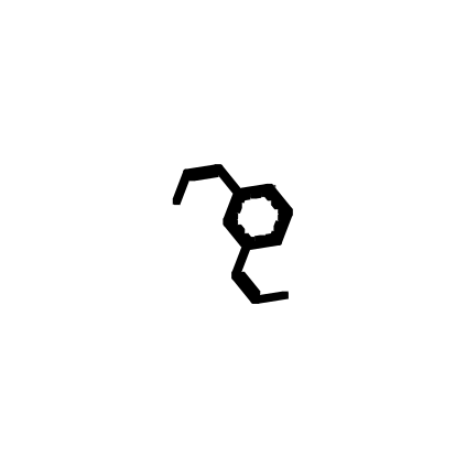 C/C=C\c1[c]ccc(/C=C\C)c1